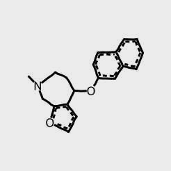 CN1CCC(Oc2ccc3ccccc3c2)c2ccoc2C1